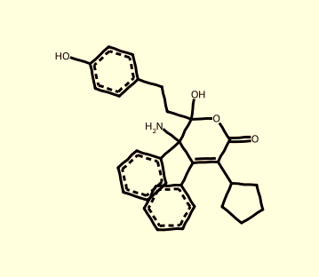 NC1(c2ccccc2)C(c2ccccc2)=C(C2CCCC2)C(=O)OC1(O)CCc1ccc(O)cc1